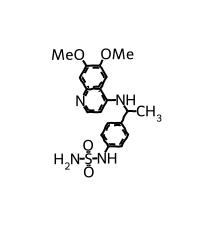 COc1cc2nccc(NC(C)c3ccc(NS(N)(=O)=O)cc3)c2cc1OC